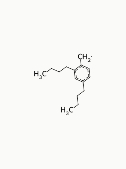 [CH2]c1ccc(CCCC)cc1CCCC